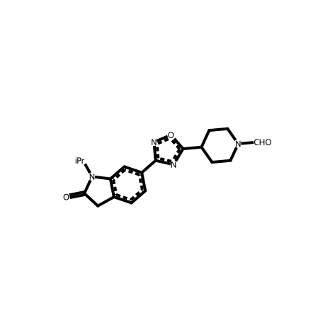 CC(C)N1C(=O)Cc2ccc(-c3noc(C4CCN(C=O)CC4)n3)cc21